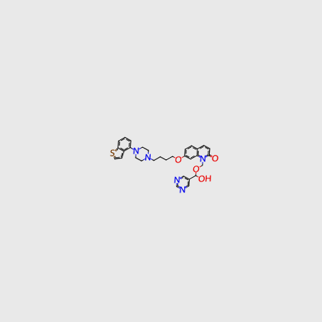 O=c1ccc2ccc(OCCCCN3CCN(c4cccc5sccc45)CC3)cc2n1COC(O)c1cncnc1